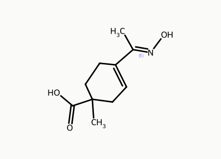 C/C(=N\O)C1=CCC(C)(C(=O)O)CC1